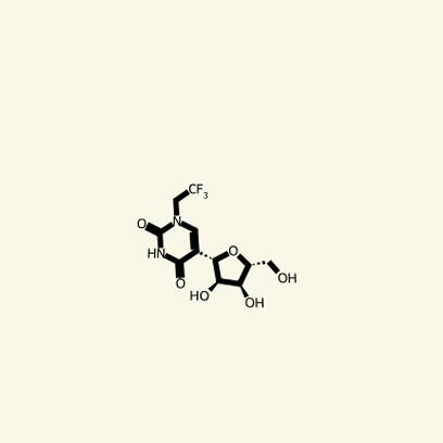 O=c1[nH]c(=O)n(CC(F)(F)F)cc1[C@@H]1O[C@H](CO)[C@@H](O)[C@H]1O